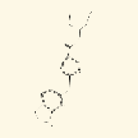 Cc1c(Oc2cnc(C(=O)N[C@@H](CO)CCC(F)(F)F)cn2)ccc2c1B(O)OC2